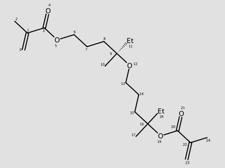 C=C(C)C(=O)OCCC[C@@](C)(CC)OCCCC(C)(CC)OC(=O)C(=C)C